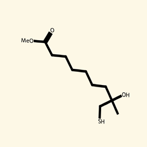 COC(=O)CCCCCCC(C)(O)CS